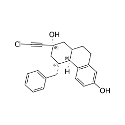 Oc1ccc2c(c1)CCC1C[C@](O)(C#CCl)C[C@@H](Cc3ccccc3)[C@H]21